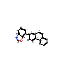 c1ccc2c(c1)ccc1cc(-c3cccc4ncoc34)ccc12